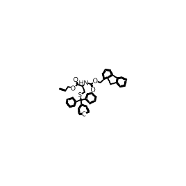 C=CCOC(=O)C(CSC(c1ccccc1)(c1ccccc1)c1ccccc1)NC(=O)OCc1cccc2c1Cc1ccccc1-2